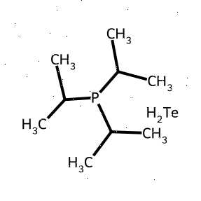 CC(C)P(C(C)C)C(C)C.[TeH2]